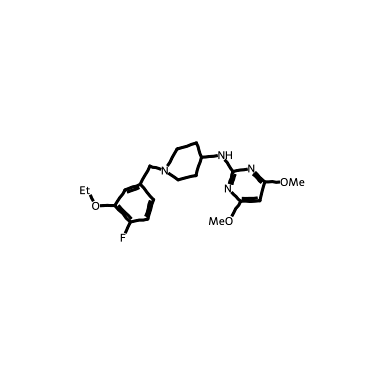 CCOc1cc(CN2CCC(Nc3nc(OC)cc(OC)n3)CC2)ccc1F